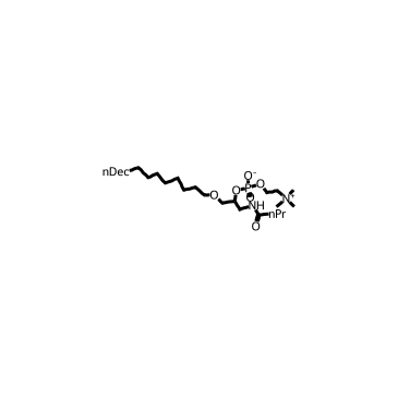 CCCCCCCCCCCCCCCCCCOCC(CNC(=O)CCC)OP(=O)([O-])OCC[N+](C)(C)C